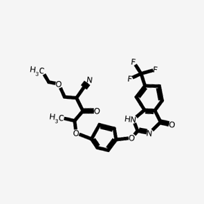 CCOCC(C#N)C(=O)C(C)Oc1ccc(Oc2nc(=O)c3ccc(C(F)(F)F)cc3[nH]2)cc1